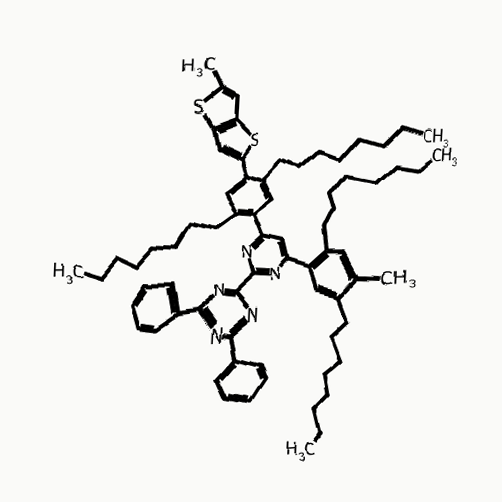 CCCCCCCCc1cc(-c2cc(-c3cc(CCCCCCCC)c(-c4cc5sc(C)cc5s4)cc3CCCCCCCC)nc(-c3nc(-c4ccccc4)nc(-c4ccccc4)n3)n2)c(CCCCCCCC)cc1C